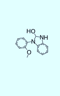 COc1ccccc1N1c2ccccc2NC1O